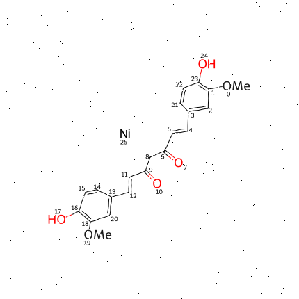 COc1cc(/C=C/C(=O)CC(=O)/C=C/c2ccc(O)c(OC)c2)ccc1O.[Ni]